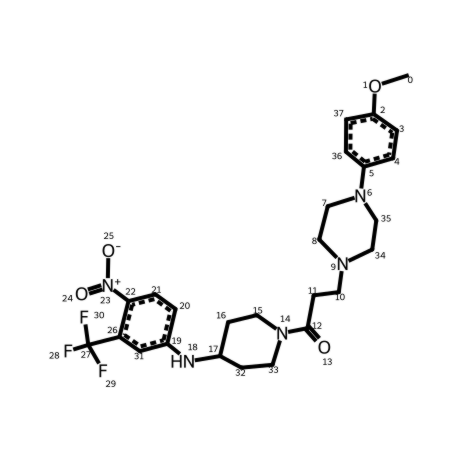 COc1ccc(N2CCN(CCC(=O)N3CCC(Nc4ccc([N+](=O)[O-])c(C(F)(F)F)c4)CC3)CC2)cc1